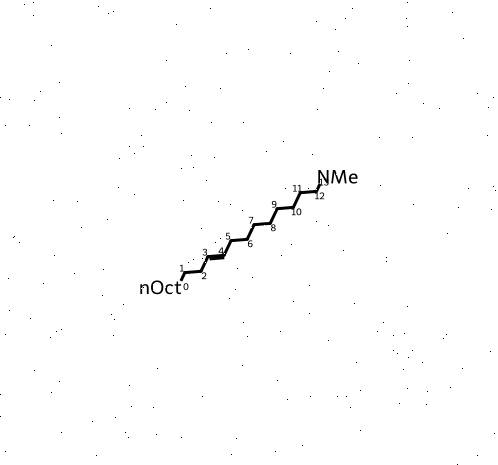 CCCCCCCCCCC=CCCCCCCCCNC